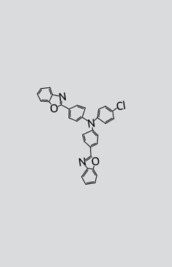 Clc1ccc(N(c2ccc(-c3nc4ccccc4o3)cc2)c2ccc(-c3nc4ccccc4o3)cc2)cc1